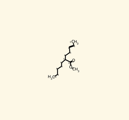 CC=CCCC(CCCCC)C(=O)OC